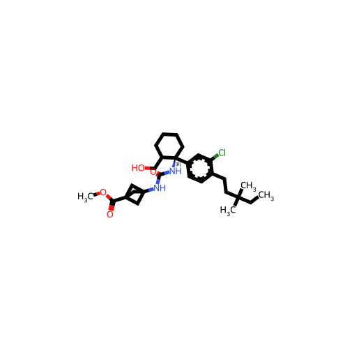 CCC(C)(C)CCc1ccc([C@@]2(NC(=O)NC34CC(C(=O)OC)(C3)C4)CCCCC2CO)cc1Cl